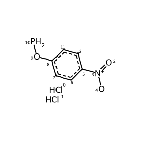 Cl.Cl.O=[N+]([O-])c1ccc(OP)cc1